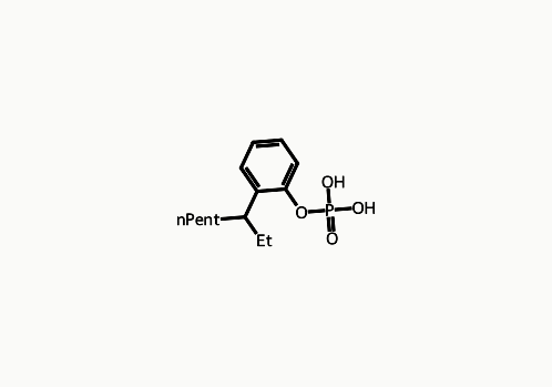 CCCCCC(CC)c1ccccc1OP(=O)(O)O